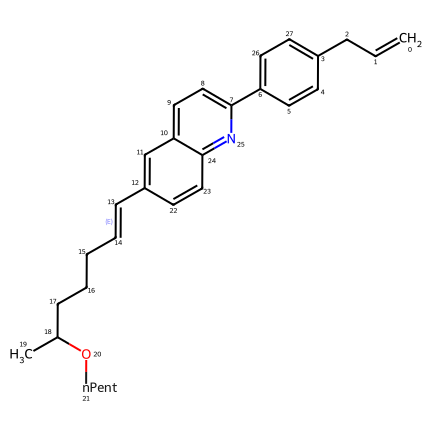 C=CCc1ccc(-c2ccc3cc(/C=C/CCCC(C)OCCCCC)ccc3n2)cc1